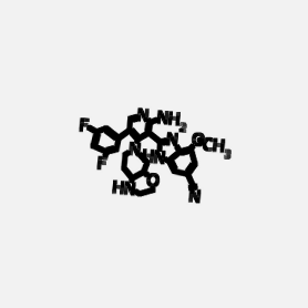 COc1cc(C#N)cc2[nH]c(-c3c(N)ncc(-c4cc(F)cc(F)c4)c3N3CCC4NCCOC4C3)nc12